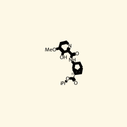 COc1ccnc(C(=O)NC2CC3CC2[C@@H](C(=O)OC(C)C)C3)c1O